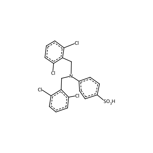 O=S(=O)(O)c1ccc(N(Cc2c(Cl)cccc2Cl)Cc2c(Cl)cccc2Cl)cc1